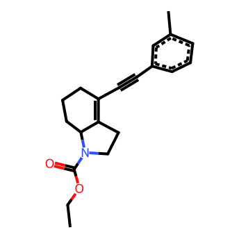 CCOC(=O)N1CCC2=C(C#Cc3cccc(C)c3)CCCC21